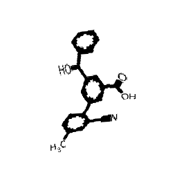 Cc1ccc(-c2cc(C(=O)O)cc(C(O)c3ccccc3)c2)c(C#N)c1